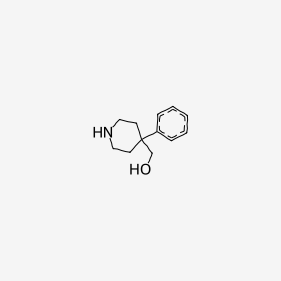 OCC1(c2ccccc2)CCNCC1